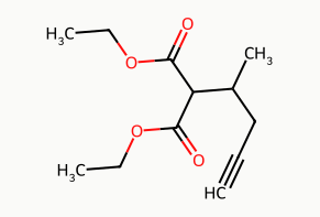 C#CCC(C)C(C(=O)OCC)C(=O)OCC